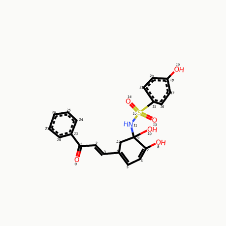 O=C(/C=C/C1=CC=C(O)C(O)(NS(=O)(=O)c2ccc(O)cc2)C1)c1ccccc1